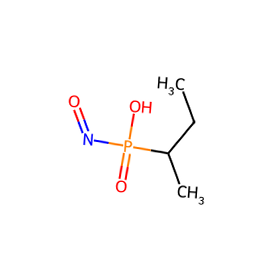 CCC(C)P(=O)(O)N=O